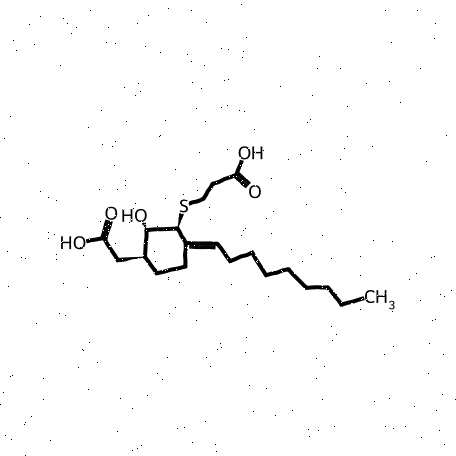 CCCCCCCC/C=C1\CC[C@@H](CC(=O)O)[C@H](O)[C@H]1SCCC(=O)O